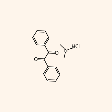 CN(C)C.Cl.O=C(C(=O)c1ccccc1)c1ccccc1